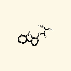 C=C(C)C(=O)Oc1cccc2c1[nH]c1ccccc12